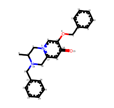 CC1Cn2cc(OCc3ccccc3)c(=O)cc2CN1Cc1ccccc1